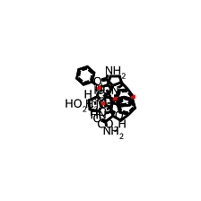 CC1(O)C(C(N)=O)Cc2ccc(cc2)[C@]1(C(=O)NC(=O)O)N1CCCC1N(c1ccccc1)C1CCCN1[C@@]1(C(=O)NC(=O)O)c2ccc(cc2)CC(C(N)=O)C1(C)O